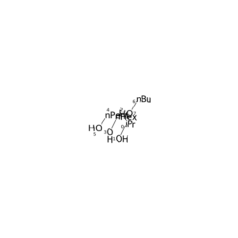 CC(C)O.CCCCCCO.CCCCCO.CCCCO